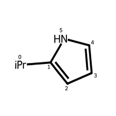 CC(C)c1ccc[nH]1